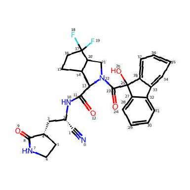 N#C[C@H](C[C@@H]1CCNC1=O)NC(=O)C1C2CCC(F)(F)C2CN1C(=O)C1(O)c2ccccc2-c2ccccc21